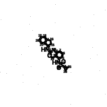 O=S(=O)(Nc1cccc2c1COC(N[C@@H]1CCc3ccccc31)=N2)C1CC1